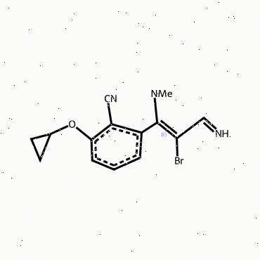 CN/C(=C(/Br)C=N)c1cccc(OC2CC2)c1C#N